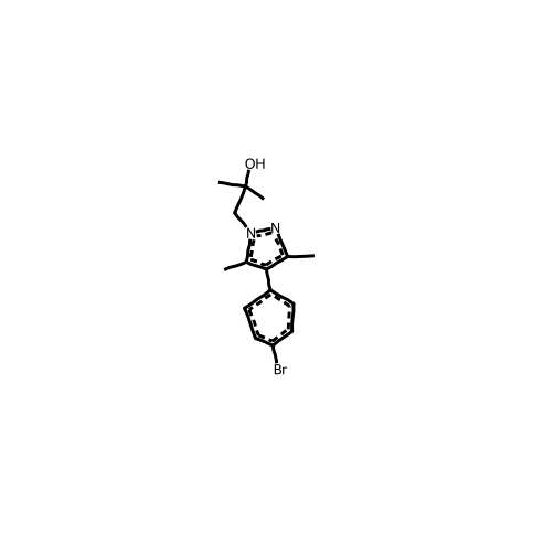 Cc1nn(CC(C)(C)O)c(C)c1-c1ccc(Br)cc1